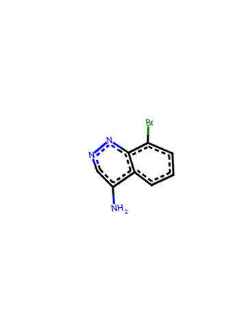 Nc1cnnc2c(Br)cccc12